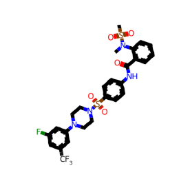 CN(c1ccccc1C(=O)Nc1ccc(S(=O)(=O)N2CCN(c3cc(F)cc(C(F)(F)F)c3)CC2)cc1)S(C)(=O)=O